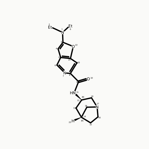 CCN(CC)c1cc2cnc(C(=O)N[C@@H]3C[C@H]4CCN(C4)C3)cc2o1